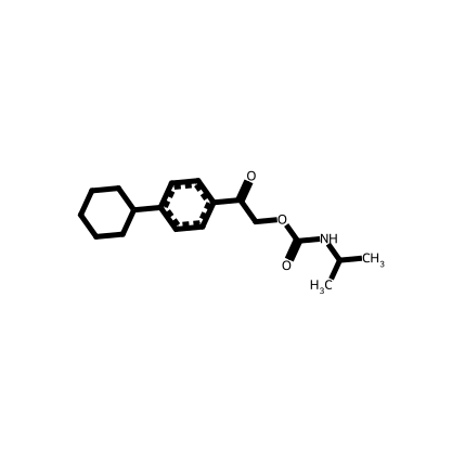 CC(C)NC(=O)OCC(=O)c1ccc(C2CCCCC2)cc1